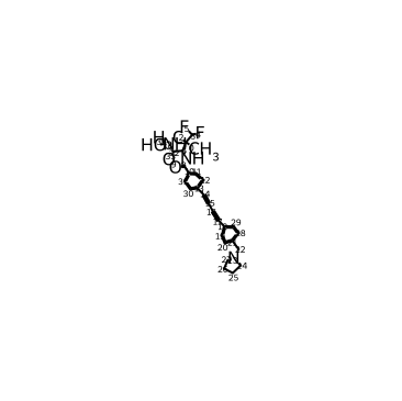 CC(C)(C(F)F)[C@H](NC(=O)c1ccc(C#CC#Cc2ccc(CN3CCCC3)cc2)cc1)C(=O)NO